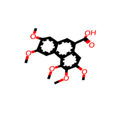 COc1cc2cc(C(=O)O)c3cc(OC)c(OC)c(OC)c3c2cc1OC